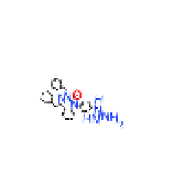 N=C(N)Nc1ccc(N2C(=O)N(Cc3ccccc3)N=C(CC3CCCCC3)c3ccccc32)cc1